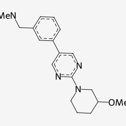 CNCc1cccc(-c2cnc(N3CCCC(OC)C3)nc2)c1